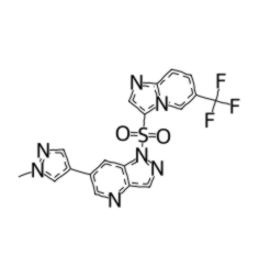 Cn1cc(-c2cnc3cnn(S(=O)(=O)c4cnc5ccc(C(F)(F)F)cn45)c3c2)cn1